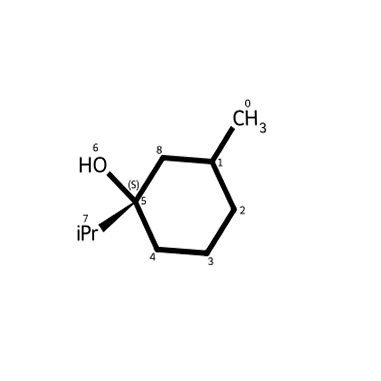 CC1CCC[C@@](O)(C(C)C)C1